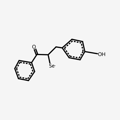 O=C(c1ccccc1)C([Se])Cc1ccc(O)cc1